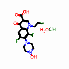 Cl.O.O=C(O)c1cn(CCF)c2c(F)c(N3CCN(O)CC3)c(F)cc2c1=O